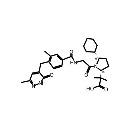 Cc1cc(Cc2ccc(C(=O)NCC(=O)N3[C@H](C4CCCCC4)CC[C@@H]3C(C)(C)C(=O)O)cc2C)c(=O)[nH]n1